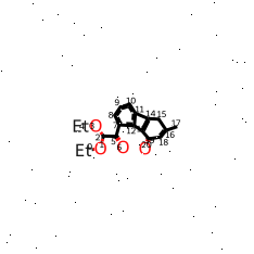 CCOC(OCC)C(=O)c1cccc2c1C1=C2CC(C)=CC1=O